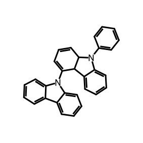 C1=CC2C(C(n3c4ccccc4c4ccccc43)=C1)c1ccccc1N2c1ccccc1